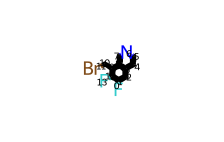 Fc1cc2ccncc2c(CBr)c1F